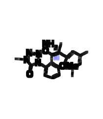 COc1cccc(-n2nnn(C)c2=O)c1/C(ON)=C(/C)c1cc(C)cc(C)c1